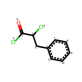 O=C(Cl)C(Cl)Cc1ccccc1